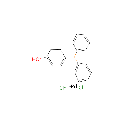 Oc1ccc(P(c2ccccc2)c2ccccc2)cc1.[Cl][Pd][Cl]